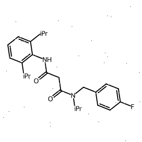 CC(C)c1cccc(C(C)C)c1NC(=O)CC(=O)N(Cc1ccc(F)cc1)C(C)C